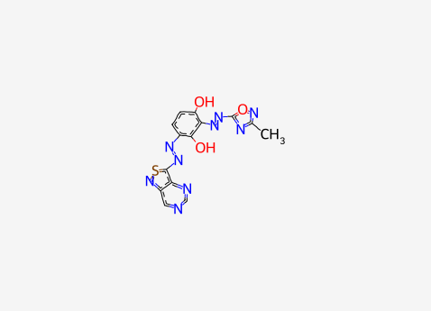 Cc1noc(/N=N/c2c(O)ccc(/N=N/c3snc4cncnc34)c2O)n1